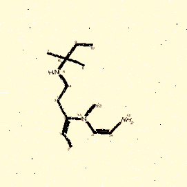 C/C=C(/CCNC(C)(C)CC)N(C)/C=C\N